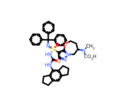 CN(C(=O)O)C1CCOc2c(S(=O)(=NC(c3ccccc3)(c3ccccc3)c3ccccc3)NC(=O)Nc3c4c(cc5c3CCC5)CCC4)cnn2C1